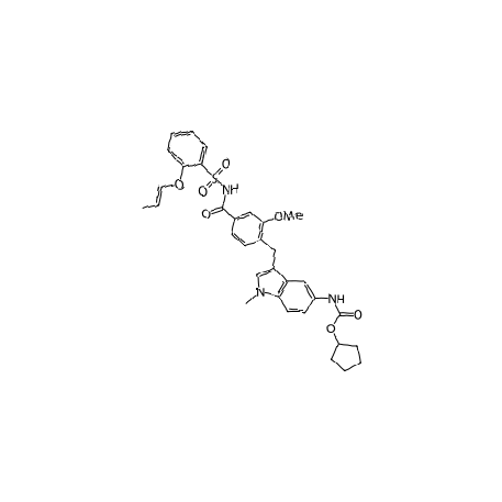 CC=COc1ccccc1S(=O)(=O)NC(=O)c1ccc(Cc2cn(C)c3ccc(NC(=O)OC4CCCC4)cc23)c(OC)c1